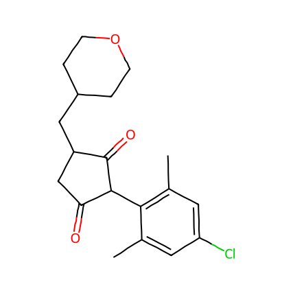 Cc1cc(Cl)cc(C)c1C1C(=O)CC(CC2CCOCC2)C1=O